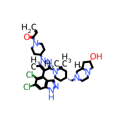 C=CC(=O)N1CCC(n2nc(N3CC[C@@H](CN4CCN5C[C@@H](O)C[C@@H]5C4)CC3(C)C)c(-c3c(Cl)c(Cl)cc4[nH]ncc34)c2C)CC1